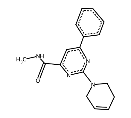 CNC(=O)c1cc(-c2ccccc2)nc(N2CC=CCC2)n1